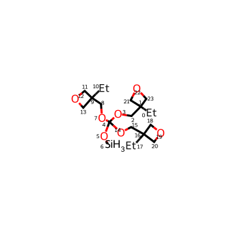 CCC1(COC(O[SiH3])(OCC2(CC)COC2)OCC2(CC)COC2)COC1